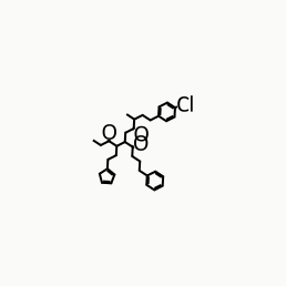 CCC(=O)C(CCC1=CC=CC1)C(CC(=O)C(C)CCc1ccc(Cl)cc1)C(=O)CCCc1ccccc1